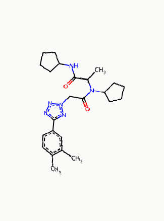 Cc1ccc(-c2nnn(CC(=O)N(C3CCCC3)C(C)C(=O)NC3CCCC3)n2)cc1C